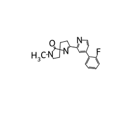 CN1CCC2(CCC(c3cc(-c4ccccc4F)ccn3)=N2)C1=O